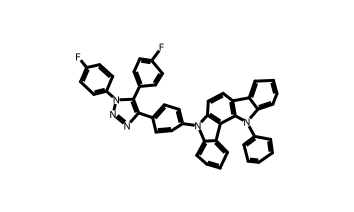 Fc1ccc(-c2c(-c3ccc(-n4c5ccccc5c5c4ccc4c6ccccc6n(-c6ccccc6)c45)cc3)nnn2-c2ccc(F)cc2)cc1